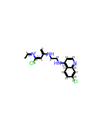 C=C(/C=C(Cl)\N=C/C)NCCNc1ccnc2cc(Cl)ccc12